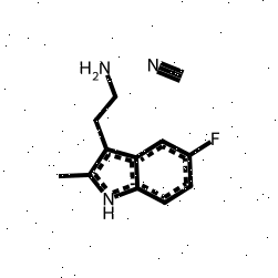 C#N.Cc1[nH]c2ccc(F)cc2c1CCN